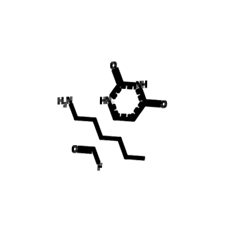 CCCCCCN.O=CF.O=c1cc[nH]c(=O)[nH]1